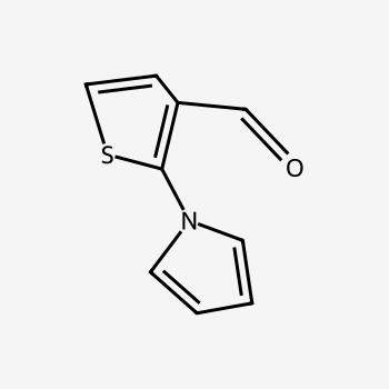 O=Cc1ccsc1-n1cccc1